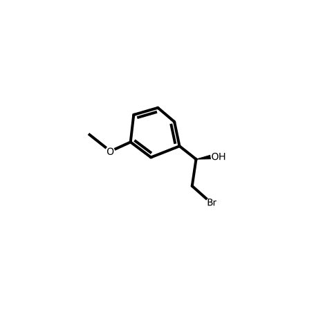 COc1cccc([C@@H](O)CBr)c1